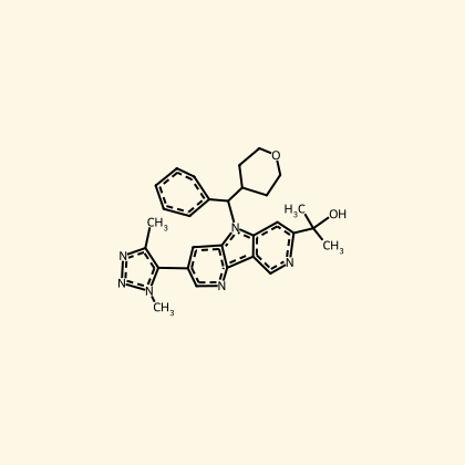 Cc1nnn(C)c1-c1cnc2c3cnc(C(C)(C)O)cc3n(C(c3ccccc3)C3CCOCC3)c2c1